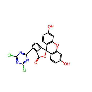 O=C1OC2(c3ccc(O)cc3Oc3cc(O)ccc32)c2cccc(-c3nc(Cl)nc(Cl)n3)c21